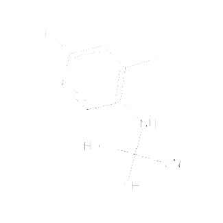 CC(C)(C#N)Nc1ccc(F)cc1F